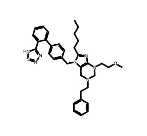 CCCCCc1nc2c(n1Cc1ccc(-c3ccccc3-c3nnn[nH]3)cc1)CN(CCc1ccccc1)CN2CCOC